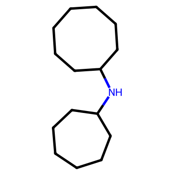 C1CCCC(NC2CCCCCC2)CCC1